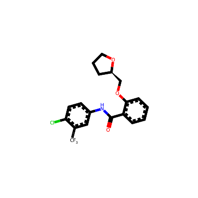 O=C(Nc1ccc(Cl)c(C(F)(F)F)c1)c1ccccc1OC[C@H]1CCCO1